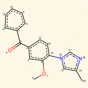 COc1cc(C(=O)c2ccccc2)ccc1-n1cnc(C)c1